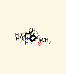 CC(=O)Oc1ccc2c(c1)C(C)=CC(C)(C)N2